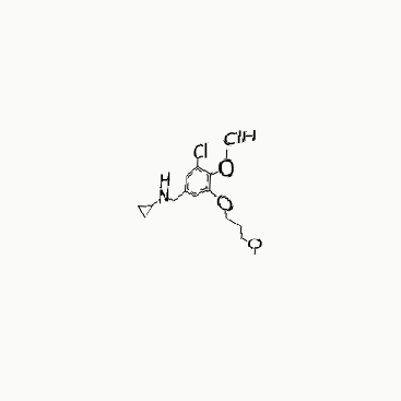 COCCCOc1cc(CNC2CC2)cc(Cl)c1OC.Cl